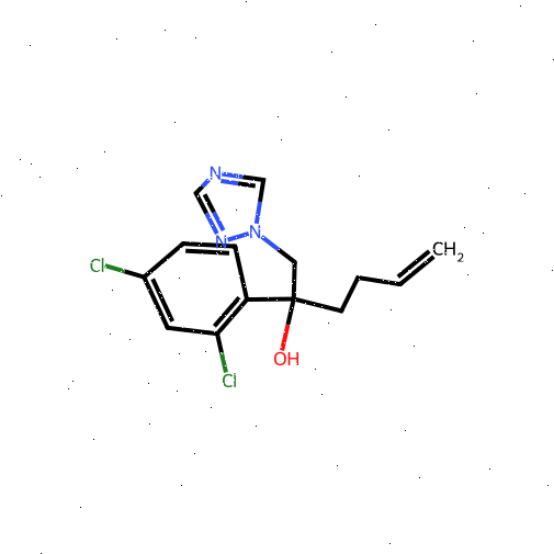 C=CCCC(O)(Cn1cncn1)c1ccc(Cl)cc1Cl